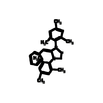 Cc1cc(C)c(N2[C]CN(c3c(C)cc(C)cc3C)C2=Cc2ccccc2)c(C)c1